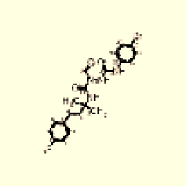 CC(C)(CCc1ccc(F)cc1)NC(=O)N(C=O)NC(=O)Nc1ccc(Br)cc1